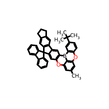 Cc1cc2c3c(c1)Oc1cc4c(cc1B3c1cc(C(C)(C)C)ccc1O2)-c1cc2c(cc1C41c3ccccc3-c3ccccc31)CCC2